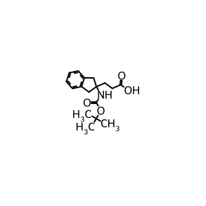 CC(C)(C)OC(=O)NC1(CCC(=O)O)Cc2ccccc2C1